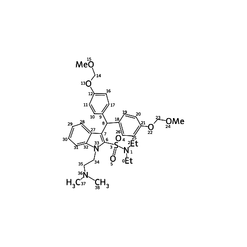 CCN(CC)S(=O)(=O)c1c(C(c2ccc(OCOC)cc2)c2ccc(OCOC)cc2)c2ccccc2n1CCN(C)C